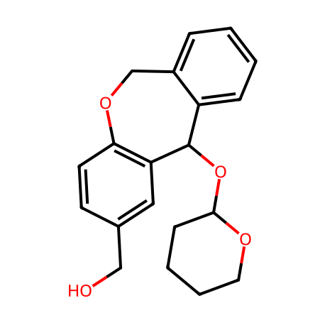 OCc1ccc2c(c1)C(OC1CCCCO1)c1ccccc1CO2